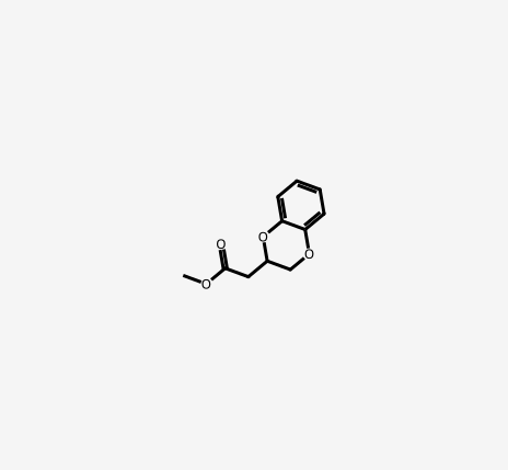 COC(=O)CC1COc2ccccc2O1